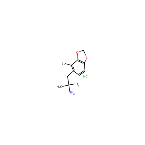 CCc1c(CC(C)(C)N)ccc2c1OCO2.Cl